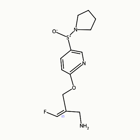 NC/C(=C/F)COc1ccc([S+]([O-])N2CCCC2)cn1